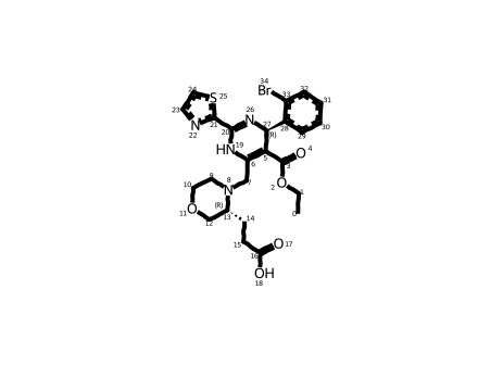 CCOC(=O)C1=C(CN2CCOC[C@H]2CCC(=O)O)NC(c2nccs2)=N[C@H]1c1ccccc1Br